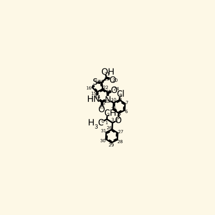 CC(C)C(Oc1ccc(Cl)c(-n2c(=O)[nH]c3csc(C(=O)O)c3c2=O)c1)c1ccccc1